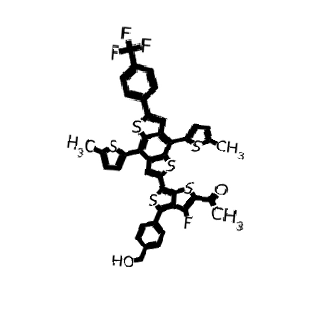 CC(=O)c1sc2c(-c3cc4c(-c5ccc(C)s5)c5sc(-c6ccc(C(F)(F)F)cc6)cc5c(-c5ccc(C)s5)c4s3)sc(-c3ccc(CO)cc3)c2c1F